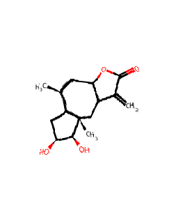 C=C1C(=O)OC2C[C@H](C)C3C[C@H](O)[C@H](O)[C@@]3(C)CC12